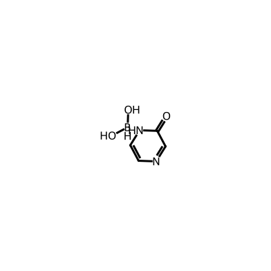 O=c1cncc[nH]1.OBO